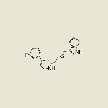 Fc1cccc(C2=CCNC(CCSCc3c[nH]c4ccccc34)C2)c1